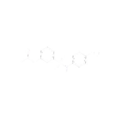 CCOC(=O)c1ccc(NS(=O)(=O)c2cccc(OC(C)Br)c2)cc1